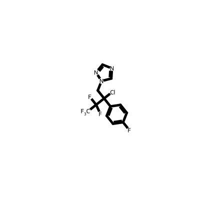 Fc1ccc(C(Cl)(Cn2cncn2)C(F)(F)C(F)(F)F)cc1